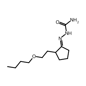 CCCCOCCC1CCC/C1=N\NC(N)=O